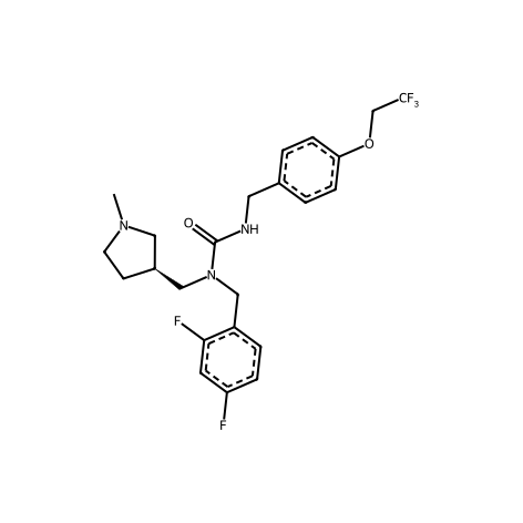 CN1CC[C@H](CN(Cc2ccc(F)cc2F)C(=O)NCc2ccc(OCC(F)(F)F)cc2)C1